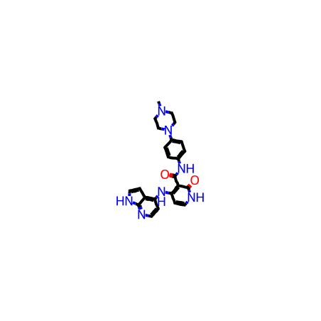 CN1CCN(c2ccc(NC(=O)c3c(Nc4ccnc5[nH]ccc45)cc[nH]c3=O)cc2)CC1